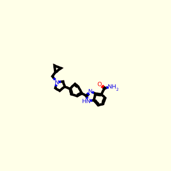 NC(=O)c1cccc2[nH]c(-c3ccc(C4CCN(CC5CC5)C4)cc3)nc12